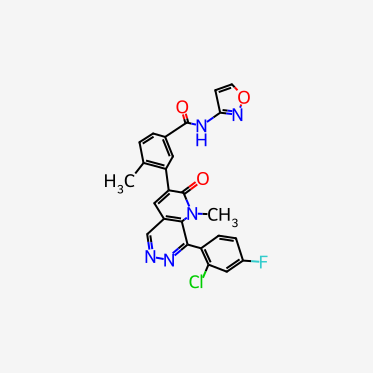 Cc1ccc(C(=O)Nc2ccon2)cc1-c1cc2cnnc(-c3ccc(F)cc3Cl)c2n(C)c1=O